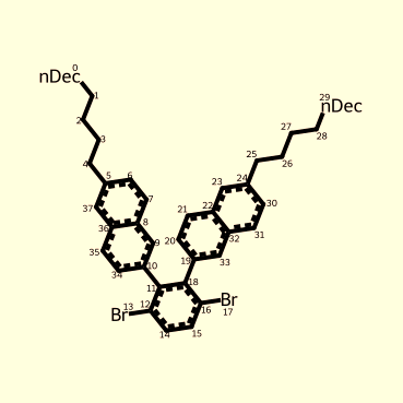 CCCCCCCCCCCCCCc1ccc2cc(-c3c(Br)ccc(Br)c3-c3ccc4cc(CCCCCCCCCCCCCC)ccc4c3)ccc2c1